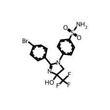 NS(=O)(=O)c1ccc(N2CC(O)(C(F)(F)F)N=C2c2ccc(Br)cc2)cc1